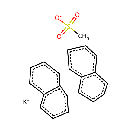 CS(=O)(=O)[O-].[K+].c1ccc2ccccc2c1.c1ccc2ccccc2c1